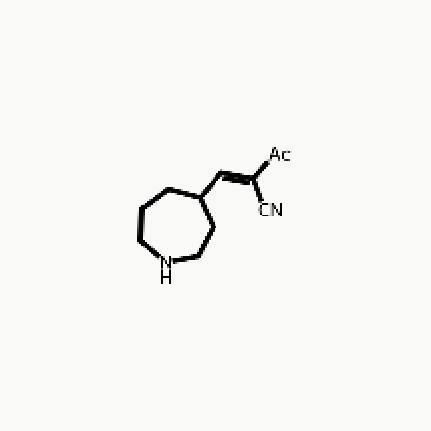 CC(=O)/C(C#N)=C/C1CCCNCC1